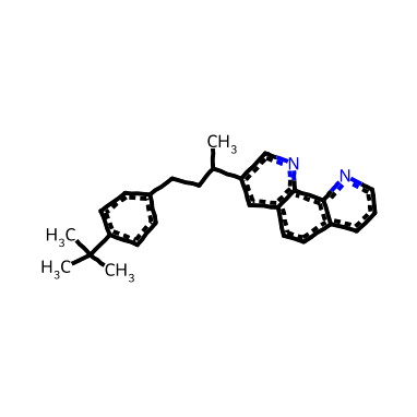 CC(CCc1ccc(C(C)(C)C)cc1)c1cnc2c(ccc3cccnc32)c1